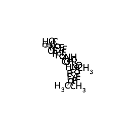 Cc1ccc(C(c2ccc(C)c(NC(=O)c3cccc(C(=O)Nc4cc(C(c5ccc(C)c(N6C(=O)C7C8C=CC(C8)C7C6=O)c5)(C(F)(F)F)C(F)(F)F)ccc4C)c3)c2)(C(F)(F)F)C(F)(F)F)cc1C